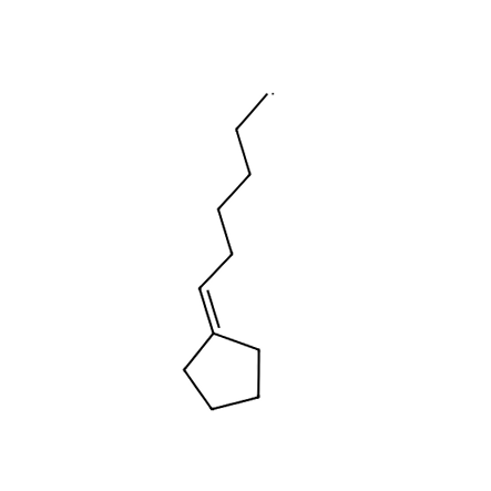 [CH2]CCCCC=C1CCCC1